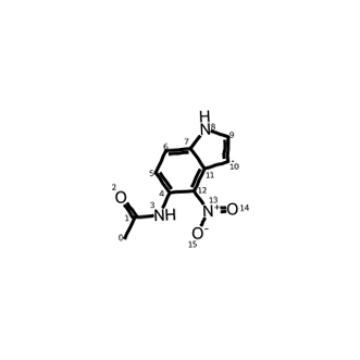 CC(=O)Nc1ccc2[nH]c[c]c2c1[N+](=O)[O-]